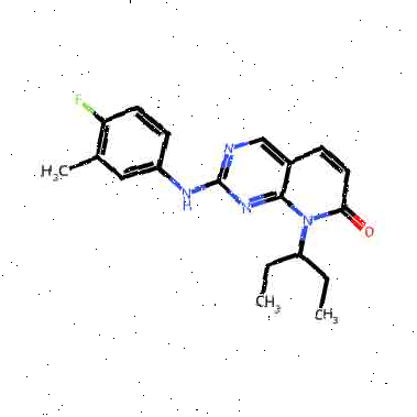 CCC(CC)n1c(=O)ccc2cnc(Nc3ccc(F)c(C)c3)nc21